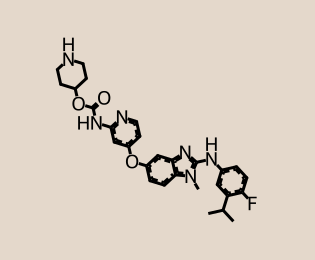 CC(C)c1cc(Nc2nc3cc(Oc4ccnc(NC(=O)OC5CCNCC5)c4)ccc3n2C)ccc1F